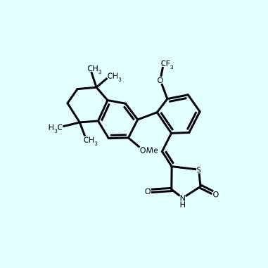 COc1cc2c(cc1-c1c(C=C3SC(=O)NC3=O)cccc1OC(F)(F)F)C(C)(C)CCC2(C)C